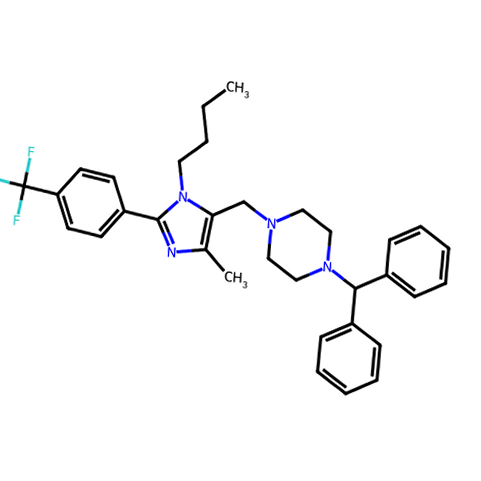 CCCCn1c(-c2ccc(C(F)(F)F)cc2)nc(C)c1CN1CCN(C(c2ccccc2)c2ccccc2)CC1